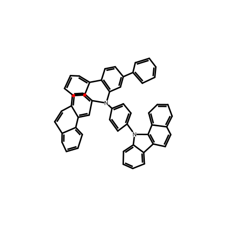 c1ccc(-c2ccc(-c3ccccc3)c(N(c3ccc(-n4c5ccccc5c5ccc6ccccc6c54)cc3)c3ccc4ccc5ccccc5c4c3)c2)cc1